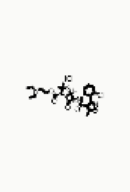 CCN(CC)CCOC(=O)[C@@H]1N2C(=O)[C@@H](NC(=O)c3c(-c4ccccc4Cl)noc3C)[C@H]2SC1(C)C.Cl